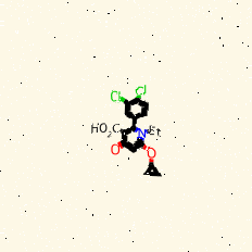 CCn1c(OC2CC2)cc(=O)c(C(=O)O)c1-c1ccc(Cl)c(Cl)c1